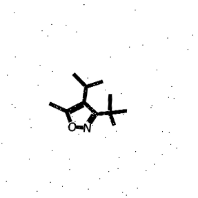 Cc1onc(C(C)(C)C)c1C(C)C